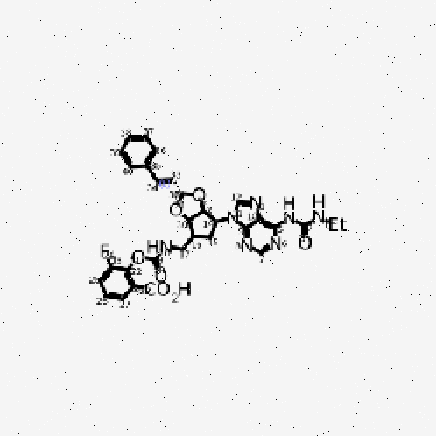 CCNC(=O)Nc1ncnc2c1ncn2C1CC(CNC(=O)Oc2c(F)cccc2C(=O)O)C2O[C@H](/C=C/c3ccccc3)OC21